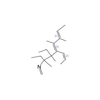 C=NC(C)(CC)C(C)(CC)C(/C=C\C)=C(C)/C(C)=C/C